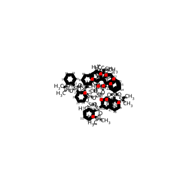 C[SiH](O[Si](C)(O[SiH](C)O[Si](O[Si](C)(C)C)(c1ccccc1)c1ccccc1)O[Si](O[SiH](C)O[Si](O[Si](C)(C)C)(c1ccccc1)c1ccccc1)(O[SiH](C)O[Si](O[Si](C)(C)C)(c1ccccc1)c1ccccc1)O[SiH](C)O[Si](O[Si](C)(C)C)(c1ccccc1)c1ccccc1)O[Si](O[Si](C)(C)C)(c1ccccc1)c1ccccc1